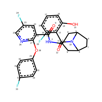 O=C(NC1CC2CCC(C1)N2C(=O)c1c(O)cccc1F)c1cc(F)cnc1Oc1ccc(F)cc1